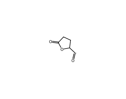 O=[C]C1CCC(=O)O1